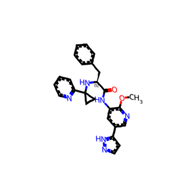 COc1ncc(-c2ccn[nH]2)cc1NC(=O)[C@H](Cc1ccccc1)NC1(c2ccccn2)CC1